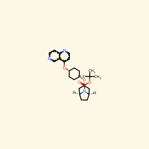 CC(C)(C)OC(=O)N1[C@@H]2CC[C@H]1C[C@H](O[C@H]1CC[C@H](Oc3ccnc4ccncc34)CC1)C2